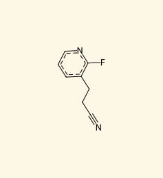 N#CCCc1cccnc1F